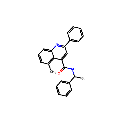 CCC(NC(=O)c1cc(-c2ccccc2)nc2cccc(C)c12)c1ccccc1